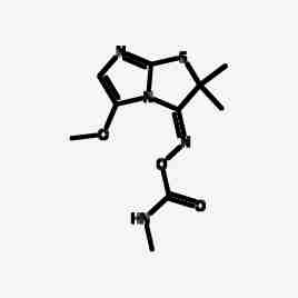 CNC(=O)ON=C1n2c(OC)cnc2SC1(C)C